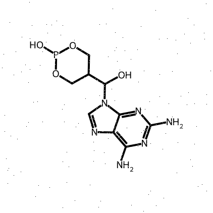 Nc1nc(N)c2ncn(C(O)C3COP(O)OC3)c2n1